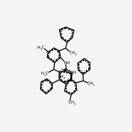 Cc1cc(C(C)c2ccccc2)c(NC(=O)Nc2c(C(C)c3ccccc3)cc(C)cc2C(C)c2ccccc2)c(C(C)c2ccccc2)c1